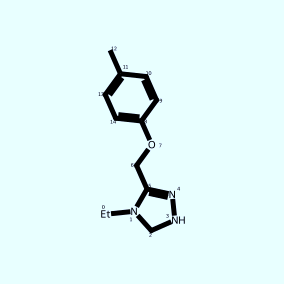 CCN1CNN=C1COc1ccc(C)cc1